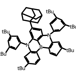 CC(C)(C)c1cc(N2c3cc(C(C)(C)C)ccc3B3c4ccc(C(C)(C)C)cc4N(c4cc(C(C)(C)C)cc(C(C)(C)C)c4)c4cc(C56CC7CC(CC(C7)C5)C6)cc2c43)cc(C(C)(C)C)c1